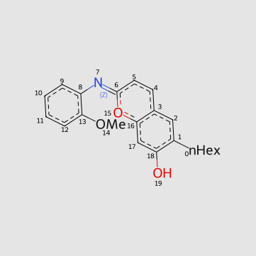 CCCCCCc1cc2cc/c(=N/c3ccccc3OC)oc2cc1O